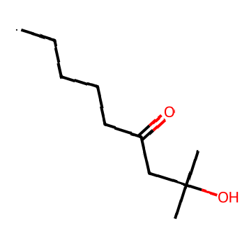 [CH2]CCCCC(=O)CC(C)(C)O